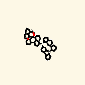 c1ccc(-n2c3ccccc3c3ccc(N(c4cccc5ccccc45)c4ccc5c6c(cccc46)C4(c6ccccc6-c6cccc7cccc4c67)c4ccccc4-5)cc32)cc1